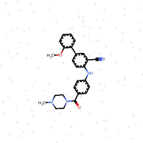 COc1ccccc1-c1ccc(Nc2ccc(C(=O)N3CCN(C)CC3)cc2)c(C#N)c1